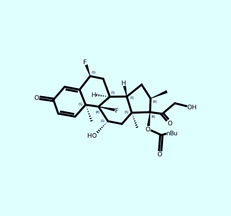 CCCCC(=O)O[C@]1(C(=O)CO)[C@H](C)C[C@H]2[C@@H]3C[C@H](F)C4=CC(=O)C=C[C@]4(C)[C@@]3(F)[C@@H](O)C[C@@]21C